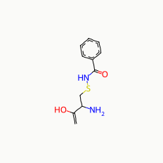 C=C(O)C(N)CSNC(=O)c1ccccc1